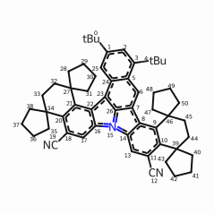 CC(C)(C)c1cc(C(C)(C)C)c2cc3c4c5c(c(C#N)cc4n4c6cc(C#N)c7c(c6c(c2c1)c34)C1(CCCC1)CCC71CCCC1)C1(CCCC1)CCC51CCCC1